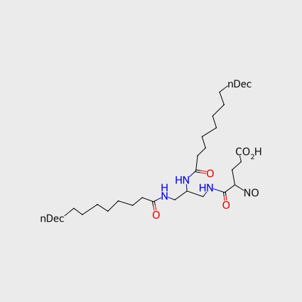 CCCCCCCCCCCCCCCCCC(=O)NCC(CNC(=O)C(CCC(=O)O)N=O)NC(=O)CCCCCCCCCCCCCCCCC